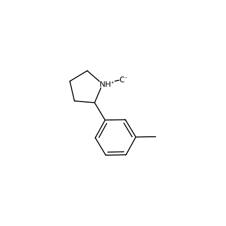 [CH2-][NH+]1CCCC1c1cccc(C)c1